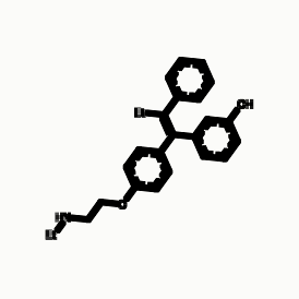 CCNCCOc1ccc(/C(=C(\CC)c2ccccc2)c2cccc(O)c2)cc1